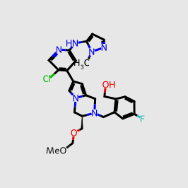 COCOC[C@H]1Cn2cc(-c3cc(Nc4ccnn4C)ncc3Cl)cc2CN1Cc1cc(F)ccc1CO